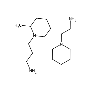 CC1CCCCN1CCCN.NCCN1CCCCC1